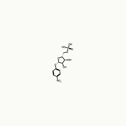 O=[N+]([O-])c1ccc(O[C@@H]2O[C@H](COP(=O)(O)O)[C@@H](O)[C@H]2O)cc1